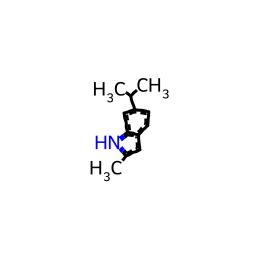 Cc1cc2ccc(C(C)C)cc2[nH]1